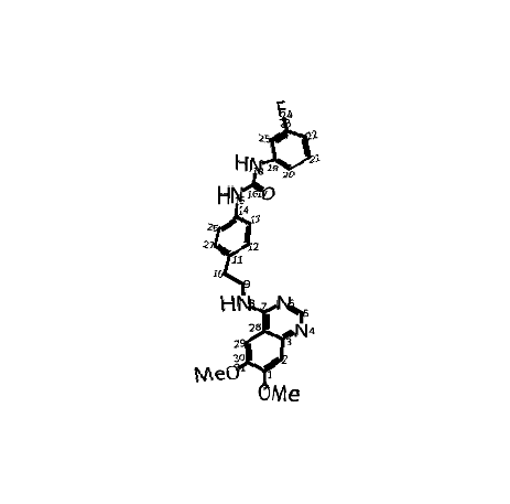 COc1cc2ncnc(NCCc3ccc(NC(=O)Nc4cccc(F)c4)cc3)c2cc1OC